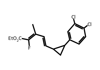 CCOC(=O)C(F)=C(C)C=CC1CC1c1ccc(Cl)c(Cl)c1